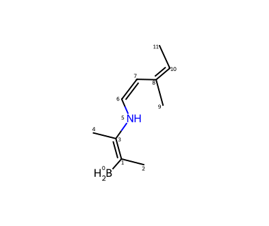 B/C(C)=C(\C)N/C=C\C(C)=C/C